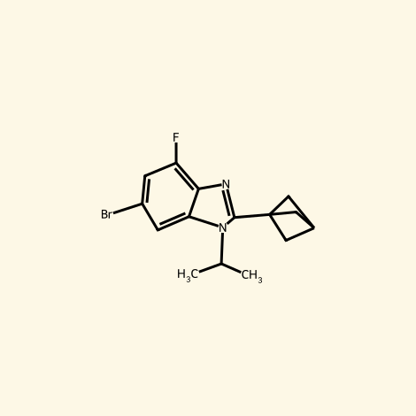 CC(C)n1c(C23CC(C2)C3)nc2c(F)cc(Br)cc21